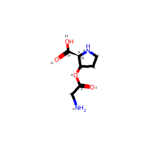 NCC(=O)OC1CCN[C@@H]1C(=O)O